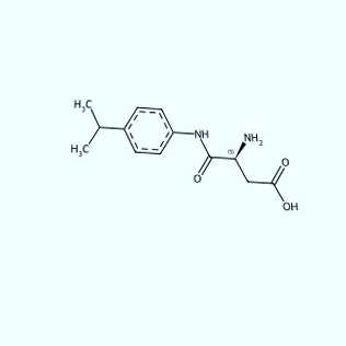 CC(C)c1ccc(NC(=O)[C@@H](N)CC(=O)O)cc1